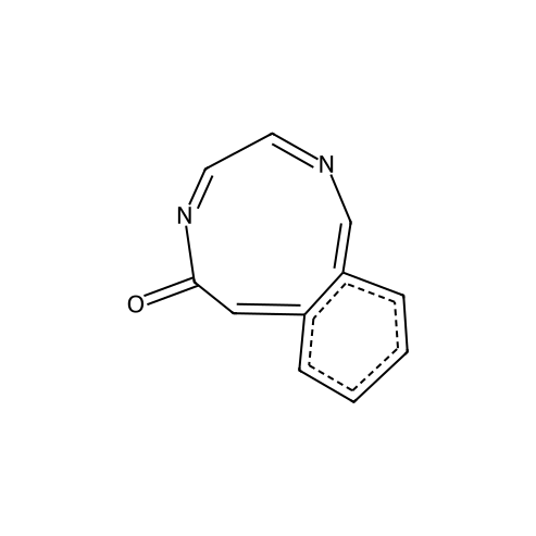 O=C1/C=c2/cccc/c2=C/N=C\C=N/1